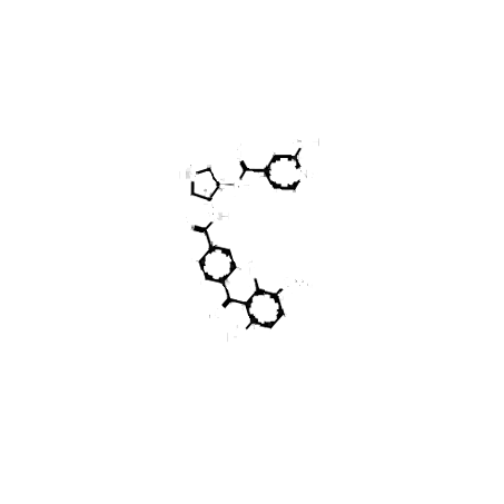 COc1ccc(O)c(C(=O)c2ccc(C(=O)N[C@@H]3CNC[C@H]3NC(=O)c3ccnc(O)c3)cc2)c1F